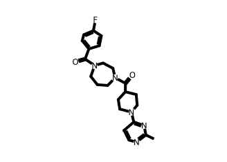 Cc1nccc(N2CCC(C(=O)N3CCCN(C(=O)c4ccc(F)cc4)CC3)CC2)n1